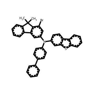 CC1(C)c2ccccc2-c2cc(N(c3ccc(-c4ccccc4)cc3)c3ccc4c(c3)sc3ccccc34)cc(Br)c21